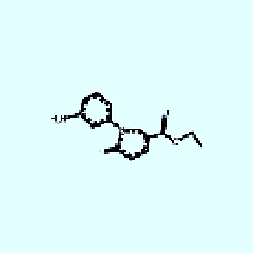 CCOC(=O)c1ccc(=O)n(-c2cccc(N)c2)c1